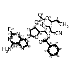 C=CCOP(=O)(OCCC#N)O[C@H]1C[C@H](n2cnc3c(N)nc(F)nc32)O[C@@H]1COC(=O)c1ccccc1